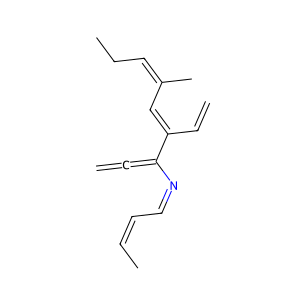 C=C=C(/N=C\C=C/C)/C(C=C)=C/C(C)=C\CC